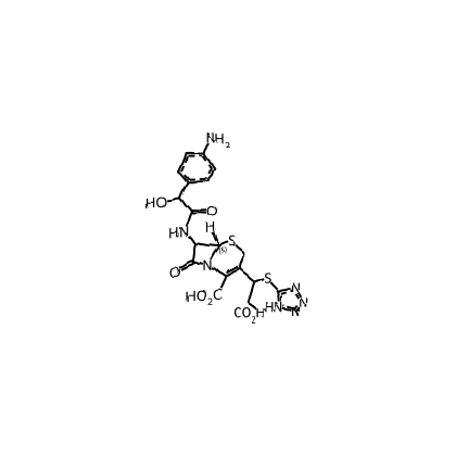 Nc1ccc(C(O)C(=O)NC2C(=O)N3C(C(=O)O)=C(C(CC(=O)O)Sc4nnn[nH]4)CS[C@@H]23)cc1